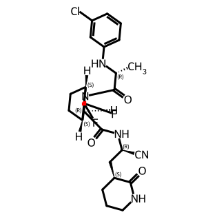 C[C@@H](Nc1cccc(Cl)c1)C(=O)N1[C@H]2CC[C@@H]([C@@H]1C(=O)N[C@@H](C#N)C[C@@H]1CCCNC1=O)C(F)(F)C2